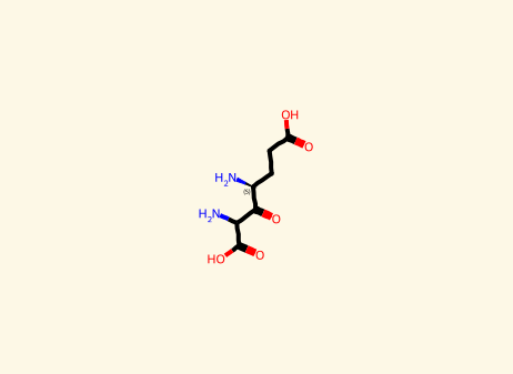 NC(C(=O)O)C(=O)[C@@H](N)CCC(=O)O